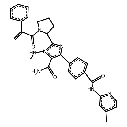 C=C(C(=O)N1CCCC1c1nc(-c2ccc(C(=O)Nc3cc(C)ccn3)cc2)c(C(N)=O)n1NC)c1ccccc1